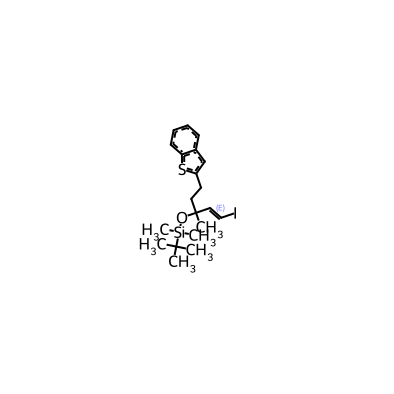 CC(/C=C/I)(CCc1cc2ccccc2s1)O[Si](C)(C)C(C)(C)C